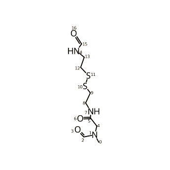 CN(C=O)CC(=O)NCCSSCCNC=O